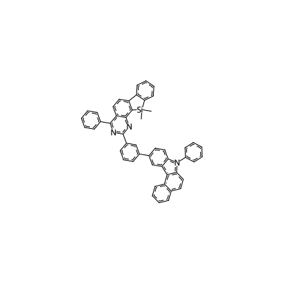 C[Si]1(C)c2ccccc2-c2ccc3c(-c4ccccc4)nc(-c4cccc(-c5ccc6c(c5)c5c7ccccc7ccc5n6-c5ccccc5)c4)nc3c21